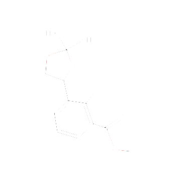 COC(=O)c1cccc(C2COC(C)(C)O2)c1F